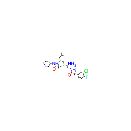 CC(C)CC1CC(C(N)CNC(=O)C(C)(C)c2ccc(F)c(Cl)c2)CC(C)(C(=O)Nc2ccncc2)C1